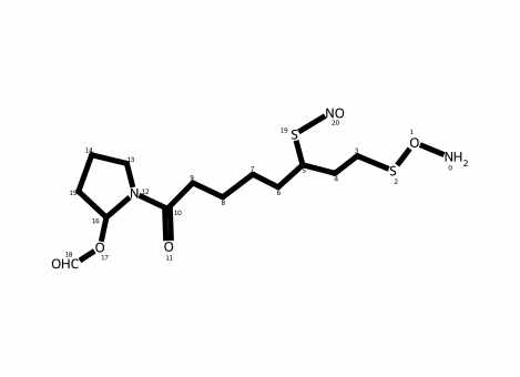 NOSCCC(CCCCC(=O)N1CCCC1OC=O)SN=O